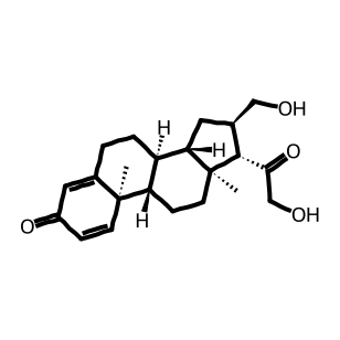 C[C@]12CC[C@H]3[C@@H](CCC4=CC(=O)C=C[C@@]43C)[C@@H]1C[C@@H](CO)[C@@H]2C(=O)CO